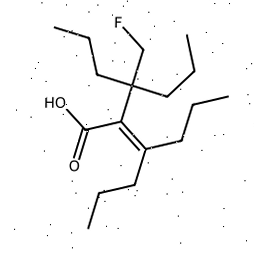 CCCC(CCC)=C(C(=O)O)C(CF)(CCC)CCC